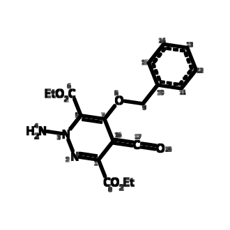 CCOC(=O)C1=NN(N)C(C(=O)OCC)=C(OCc2ccccc2)C1=C=O